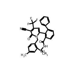 CCNC(=O)c1cccc(-c2ccccc2)c1-c1cc(C(F)(F)F)c(C#N)c(=O)n1Cc1ccc(C)cc1C